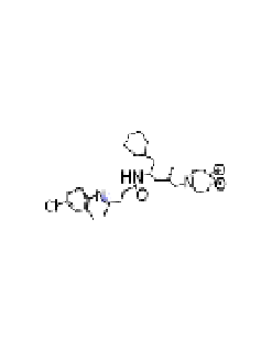 C=C(CC(CC1CCCCC1)NC(=O)CC/C(C)=N/c1ccc(Cl)cc1C)CN1CCS(=O)(=O)CC1